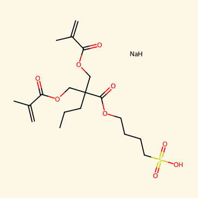 C=C(C)C(=O)OCC(CCC)(COC(=O)C(=C)C)C(=O)OCCCCS(=O)(=O)O.[NaH]